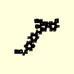 CCOC(=O)c1ccc(-c2ccc(CCN(C[C@@H](O)c3cccc(Cl)c3)C(=O)OC(C)(C)C)cc2)nc1